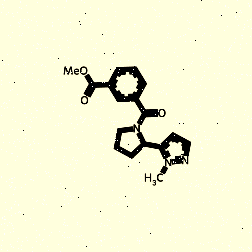 COC(=O)c1cccc(C(=O)N2CCCC2c2ccnn2C)c1